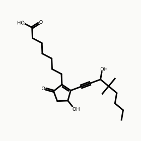 CCCCC(C)(C)C(O)C#CC1=C(CCCCCCC(=O)O)C(=O)CC1O